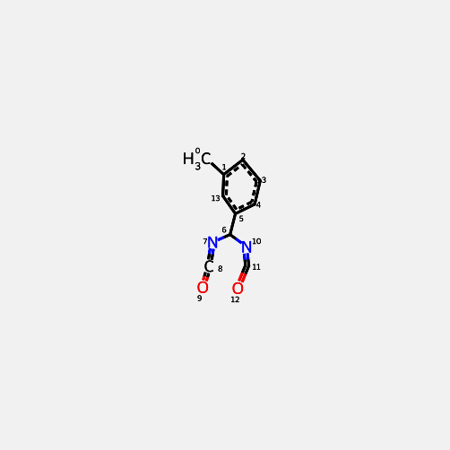 Cc1cccc(C(N=C=O)N=C=O)c1